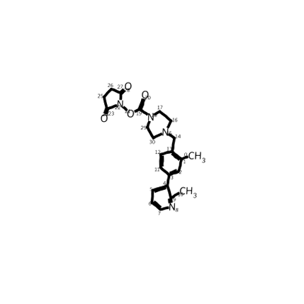 Cc1cc(-c2cccnc2C)ccc1CN1CCN(C(=O)ON2C(=O)CCC2=O)CC1